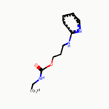 O=C(O)CNC(=O)OCCCNc1ccccn1